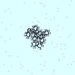 c1ccc(C2(c3ccccc3)c3ccccc3N3c4c(cccc42)B2c4c(cc5c(oc6ccccc65)c43)-c3cccc4c5oc6ccccc6c5n2c34)cc1